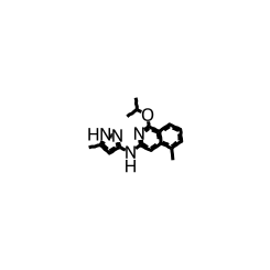 Cc1cc(Nc2cc3c(C)cccc3c(OC(C)C)n2)n[nH]1